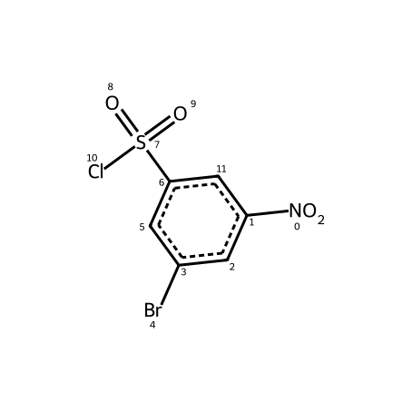 O=[N+]([O-])c1cc(Br)cc(S(=O)(=O)Cl)c1